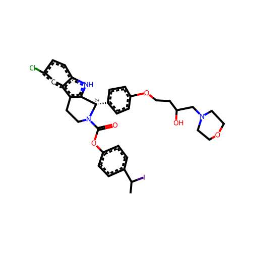 CC(I)c1ccc(OC(=O)N2CCc3c([nH]c4ccc(Cl)cc34)[C@@H]2c2ccc(OCCC(O)CN3CCOCC3)cc2)cc1